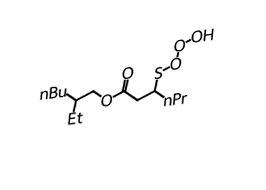 CCCCC(CC)COC(=O)CC(CCC)SOOO